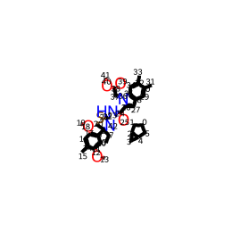 C1CC2CC2C1.CCC1(c2cc(OC)c(C)cc2OC)CSC(NC(=O)c2cc3cc(C)c(C)cc3n2CC(=O)OC)=N1